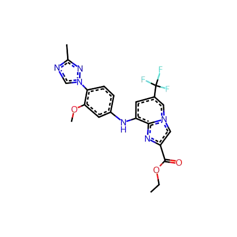 CCOC(=O)c1cn2cc(C(F)(F)F)cc(Nc3ccc(-n4cnc(C)n4)c(OC)c3)c2n1